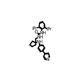 CC(C)c1cccc(C(C)C)c1NC(=O)NCC1(Nc2ccc(-c3ccncc3)cc2)CCCC1